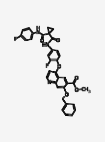 COC(=O)c1cc2c(Oc3ccc(NC(=O)C4(C(=O)Nc5ccc(F)cc5)CC4)cc3F)ccnc2cc1OCc1ccccc1